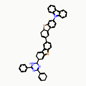 C1=CC(C2=NC(C3C=c4sc5ccc(C6=CCC7Sc8cc(-n9c%10ccccc%10c%10ccccc%109)ccc8C7=C6)cc5c4=CC3)NC(c3ccccc3)=N2)=CCC1